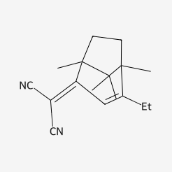 CCC1=CC(=C(C#N)C#N)C2(C)CCC1(C)C2(C)C